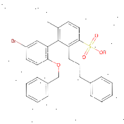 Cc1ccc(S(=O)(=O)O)c(CCCc2ccccc2)c1-c1cc(Br)ccc1OCc1ccccc1